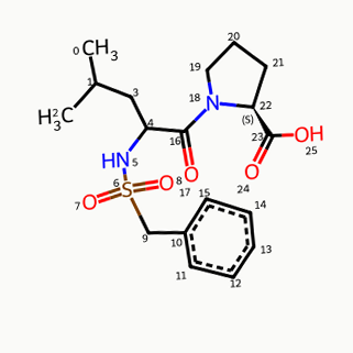 CC(C)CC(NS(=O)(=O)Cc1ccccc1)C(=O)N1CCC[C@H]1C(=O)O